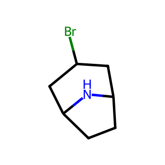 BrC1CC2CCC(C1)N2